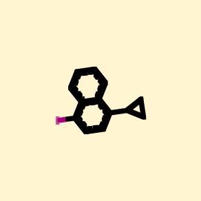 Ic1ccc(C2CC2)c2ccccc12